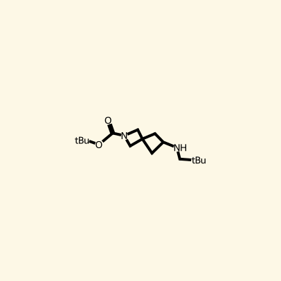 CC(C)(C)CNC1CC2(C1)CN(C(=O)OC(C)(C)C)C2